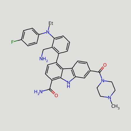 CCN(c1ccc(F)cc1)c1cccc(-c2ccc(C(N)=O)c3[nH]c4cc(C(=O)N5CCN(C)CC5)ccc4c23)c1CN